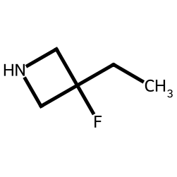 CCC1(F)CNC1